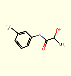 CC(O)C(=O)Nc1cccc(C(F)(F)F)c1